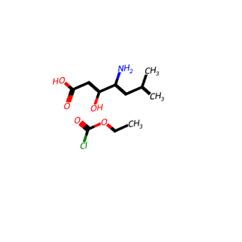 CC(C)CC(N)C(O)CC(=O)O.CCOC(=O)Cl